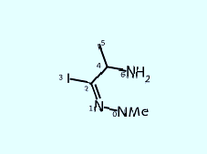 CN/N=C(/I)C(C)N